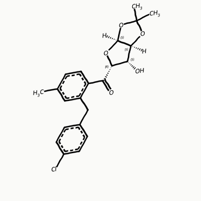 Cc1ccc(C(=O)[C@@H]2O[C@H]3OC(C)(C)O[C@H]3[C@@H]2O)c(Cc2ccc(Cl)cc2)c1